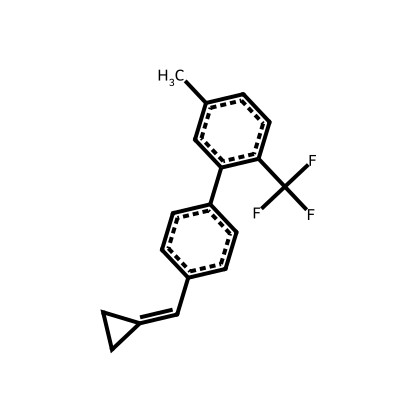 Cc1ccc(C(F)(F)F)c(-c2ccc(C=C3CC3)cc2)c1